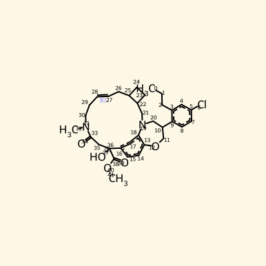 CCCc1cc(Cl)ccc1C1COc2ccc3cc2N(C1)CC1CCC1C/C=C/CCN(C)C(=O)C[C@@]3(O)C(=O)OC